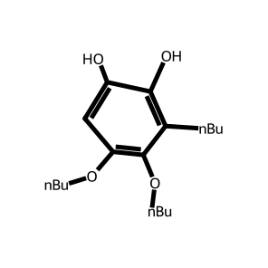 CCCCOc1cc(O)c(O)c(CCCC)c1OCCCC